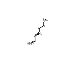 CCCCCN=CC=N